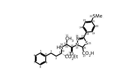 CCOC(=O)[C@H](CCc1ccccc1)N[C@@H](C)C(=O)N1N=C(c2ccc(SC)cc2)SC1C(=O)O